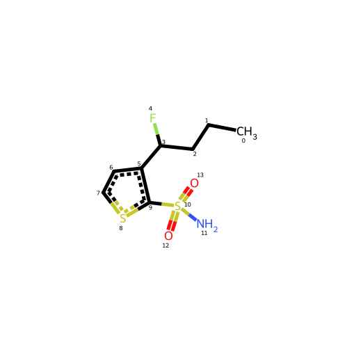 CCCC(F)c1ccsc1S(N)(=O)=O